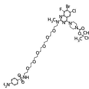 CN(CCOCCOCCOCCOCCOCCOCCNS(=O)(=O)c1ccc(N)cc1)c1nc(N2CCN(C(=O)OC(C)(C)C)CC2)c2cc(Cl)c(Br)c(F)c2n1